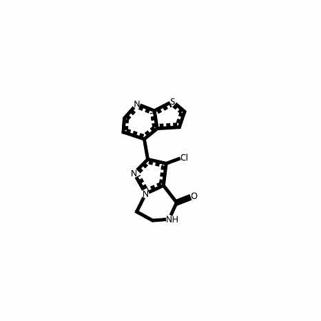 O=C1NCCn2nc(-c3ccnc4sccc34)c(Cl)c21